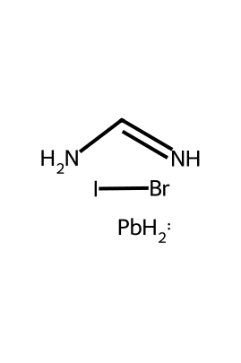 BrI.N=CN.[PbH2]